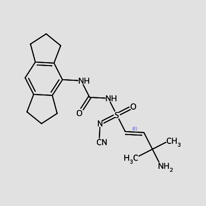 CC(C)(N)/C=C/S(=O)(=NC#N)NC(=O)Nc1c2c(cc3c1CCC3)CCC2